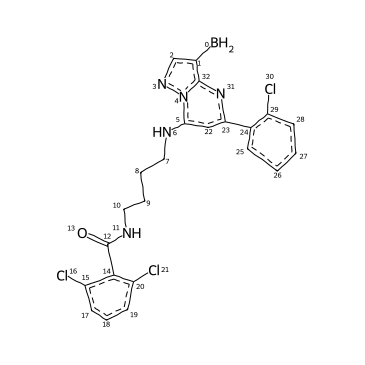 Bc1cnn2c(NCCCCNC(=O)c3c(Cl)cccc3Cl)cc(-c3ccccc3Cl)nc12